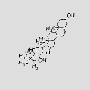 CC(C(O)C1OC2CC3C4=CC=C5CC(O)CCC5(C)C4CCC3(C)C2C1(C)O)C(C)(C)C